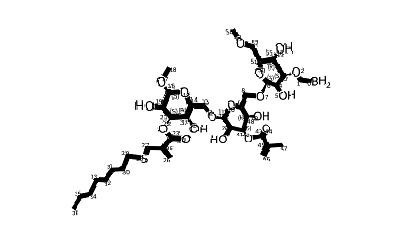 BCO[C@@H]1C(O)[C@@H](OCC2O[C@H](OCC3O[C@H](OC)C(O)[C@@H](OC(=O)C(C)CSCCCCCCCC)[C@@H]3O)C(O)[C@@H](OC(=O)C(=C)C)[C@@H]2O)OC(COC)[C@H]1O